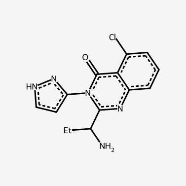 CCC(N)c1nc2cccc(Cl)c2c(=O)n1-c1cc[nH]n1